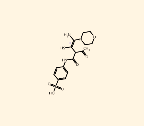 CC(=O)C(C(=O)Nc1ccc(S(=O)(=O)O)cc1)/C(S)=C(/N)N1CCOCC1